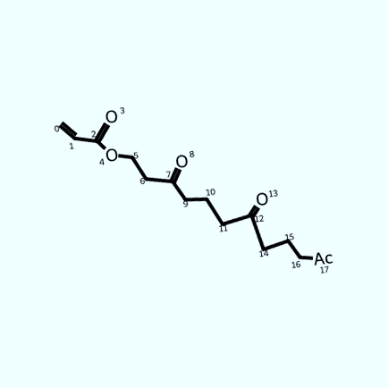 C=CC(=O)OCCC(=O)CCCC(=O)CCCC(C)=O